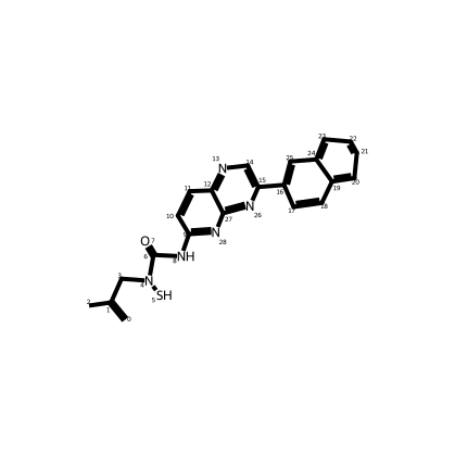 C=C(C)CN(S)C(=O)Nc1ccc2ncc(-c3ccc4ccccc4c3)nc2n1